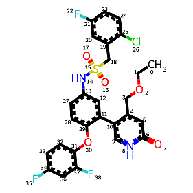 CCOCc1cc(=O)[nH]cc1-c1cc(NS(=O)(=O)Cc2cc(F)ccc2Cl)ccc1Oc1ccc(F)cc1F